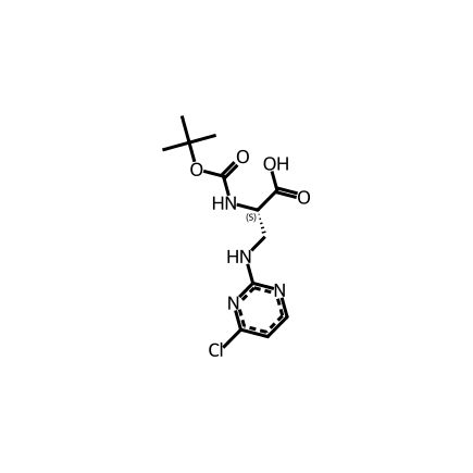 CC(C)(C)OC(=O)N[C@@H](CNc1nccc(Cl)n1)C(=O)O